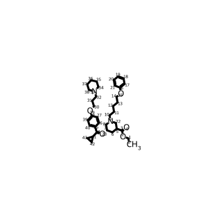 CCOC(=O)C1CCCN(CCCCCOc2ccccc2)C1.O=C(c1ccc(OCCCN2CCCCC2)cc1)C1CC1